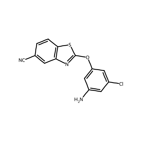 N#Cc1ccc2sc(Oc3cc(N)cc(Cl)c3)nc2c1